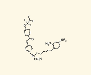 Nc1ccc(CCCCCC/C(=C\c2ccc(OC(=O)c3ccc(OC(F)(F)C(F)F)cc3)cc2)C(=O)O)c(N)c1